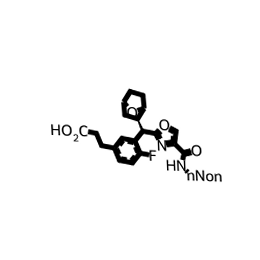 CCCCCCCCCNC(=O)c1coc(C(c2cc(CCC(=O)O)ccc2F)[C@H]2CC3CCC2O3)n1